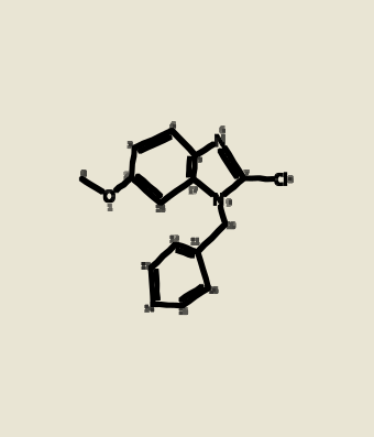 COc1ccc2nc(Cl)n(Cc3ccccc3)c2c1